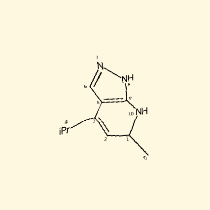 CC1C=C(C(C)C)c2cn[nH]c2N1